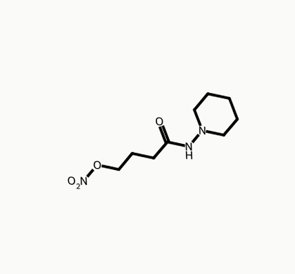 O=C(CCCO[N+](=O)[O-])NN1CCCCC1